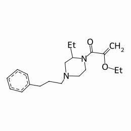 C=C(OCC)C(=O)N1CCN(CCCc2ccccc2)CC1CC